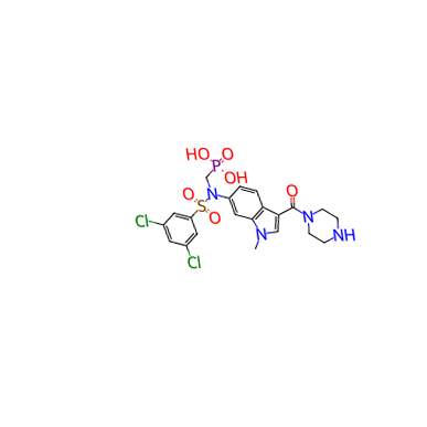 Cn1cc(C(=O)N2CCNCC2)c2ccc(N(CP(=O)(O)O)S(=O)(=O)c3cc(Cl)cc(Cl)c3)cc21